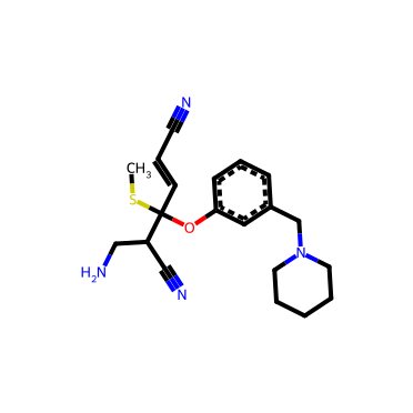 CSC(C=CC#N)(Oc1cccc(CN2CCCCC2)c1)C(C#N)CN